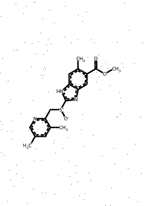 COC(=O)c1cc2nc([S+]([O-])Cc3ncc(C)cc3C)[nH]c2cc1C